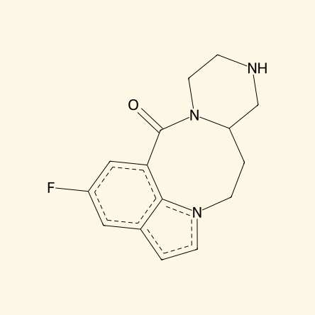 O=C1c2cc(F)cc3ccn(c23)CCC2CNCCN12